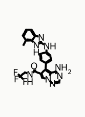 Cc1cccc2nc(Nc3ccc(-c4c(C(=O)NCC(F)(F)F)cn5ncnc(N)c45)cc3)[nH]c12